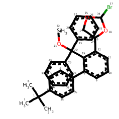 CC(C)(C)c1ccc(-c2cccc(C3COC(Br)O3)c2C(O[SiH3])(c2ccccc2)c2ccccc2)cc1